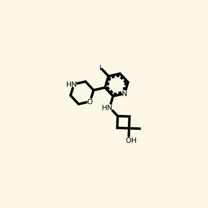 CC1(O)CC(Nc2nccc(I)c2C2CNCCO2)C1